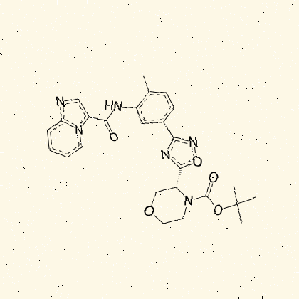 Cc1ccc(-c2noc([C@H]3COCCN3C(=O)OC(C)(C)C)n2)cc1NC(=O)c1cnc2ccccn12